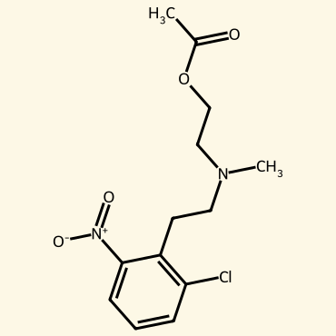 CC(=O)OCCN(C)CCc1c(Cl)cccc1[N+](=O)[O-]